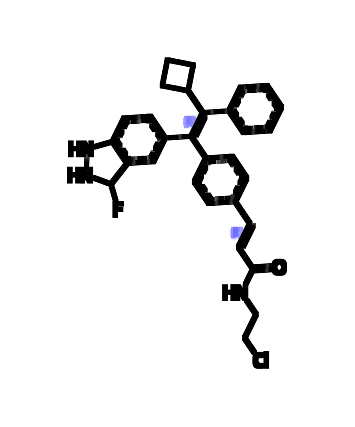 O=C(/C=C/c1ccc(/C(=C(\c2ccccc2)C2CCC2)c2ccc3c(c2)C(F)NN3)cc1)NCCCl